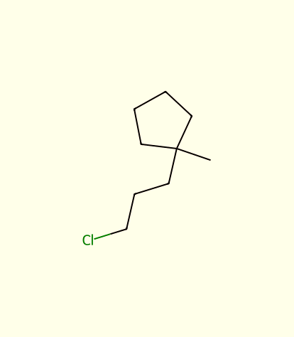 CC1(CCCCl)CCCC1